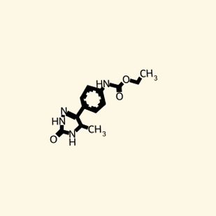 CCOC(=O)Nc1ccc(C2=NNC(=O)NC2C)cc1